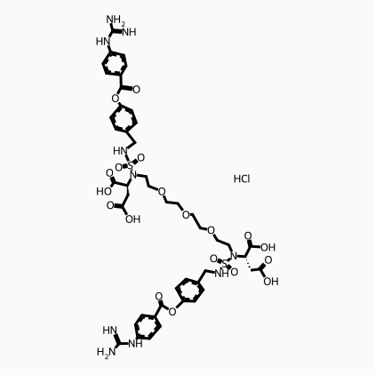 Cl.N=C(N)Nc1ccc(C(=O)Oc2ccc(CNS(=O)(=O)N(CCOCCOCCOCCN([C@@H](CC(=O)O)C(=O)O)S(=O)(=O)NCc3ccc(OC(=O)c4ccc(NC(=N)N)cc4)cc3)[C@@H](CC(=O)O)C(=O)O)cc2)cc1